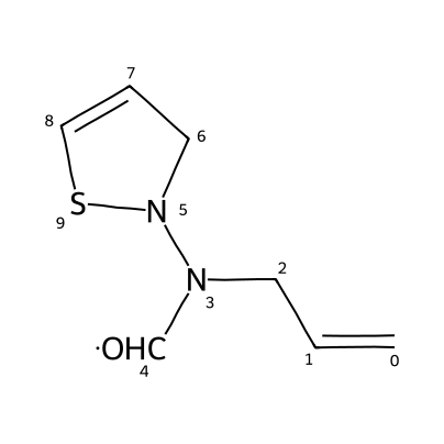 C=CCN([C]=O)N1CC=CS1